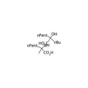 CCCCCC(C)(O)C(=O)O.CCCCCC(O)(CCCC)C(=O)O